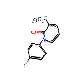 CCOC(=O)c1cccn(-c2ccc(F)cc2)c1=O